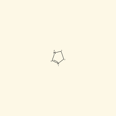 C1=NCC[N]1